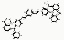 CCc1cccc(C)c1N(c1ccccc1)c1ccc(/C=C/c2cccc(/C=C/c3ccc(N(c4ccccc4)c4cccc5c4CCCC5)cc3)c2)cc1